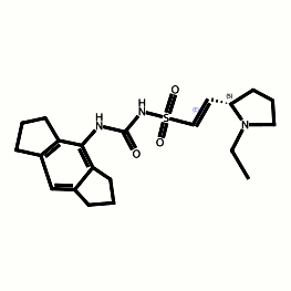 CCN1CCC[C@H]1/C=C/S(=O)(=O)NC(=O)Nc1c2c(cc3c1CCC3)CCC2